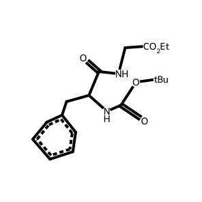 CCOC(=O)CNC(=O)C(Cc1ccccc1)NC(=O)OC(C)(C)C